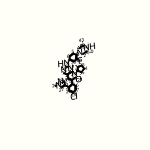 C[C@@H]1CN(c2ccc(Nc3ncc4cc(-c5ccc(Cl)cc5-c5cnn(C)c5)c(=O)n(C5CCCC5)c4n3)cc2F)C[C@H](C)N1